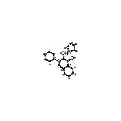 O=c1c(O)c(-c2ccccc2)oc2ccccc12.c1cscn1